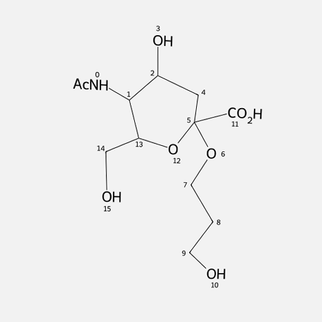 CC(=O)NC1C(O)CC(OCCCO)(C(=O)O)OC1CO